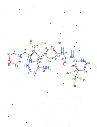 Nc1ncnn2c(CN3CCOCC3)c(C(F)F)c(-c3ccc(NC(=O)Nc4cc(C(F)(F)F)ccn4)c(F)c3)c12